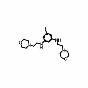 Ic1cc(NCCN2CCOCC2)cc(NCCN2CCOCC2)c1